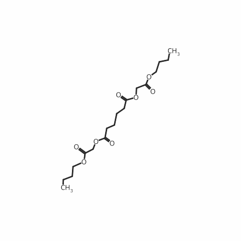 CCCCOC(=O)COC(=O)CCCCC(=O)OCC(=O)OCCCC